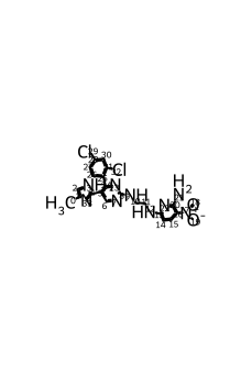 Cc1c[nH]c(-c2cnc(NCCNc3ccc([N+](=O)[O-])c(N)n3)nc2-c2ccc(Cl)cc2Cl)n1